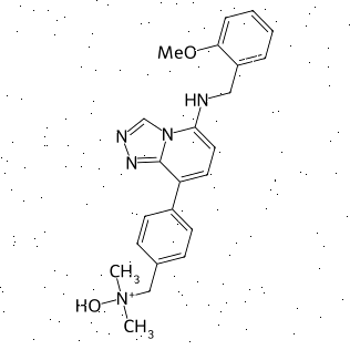 COc1ccccc1CNc1ccc(-c2ccc(C[N+](C)(C)O)cc2)c2nncn12